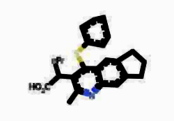 CCCC(C(=O)O)c1c(C)nc2cc3c(cc2c1Sc1ccccc1)CCC3